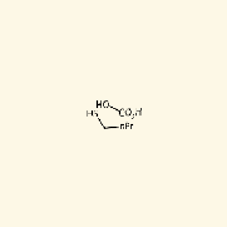 CCCCS.O=C(O)O